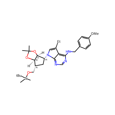 CCc1cn([C@@H]2C[C@H](CO[Si](C)(C)C(C)(C)C)[C@H]3OC(C)(C)O[C@H]32)c2ncnc(NCc3ccc(OC)cc3)c12